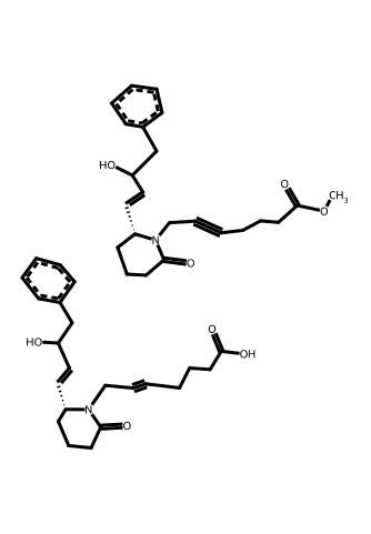 COC(=O)CCCC#CCN1C(=O)CCC[C@@H]1C=CC(O)Cc1ccccc1.O=C(O)CCCC#CCN1C(=O)CCC[C@@H]1C=CC(O)Cc1ccccc1